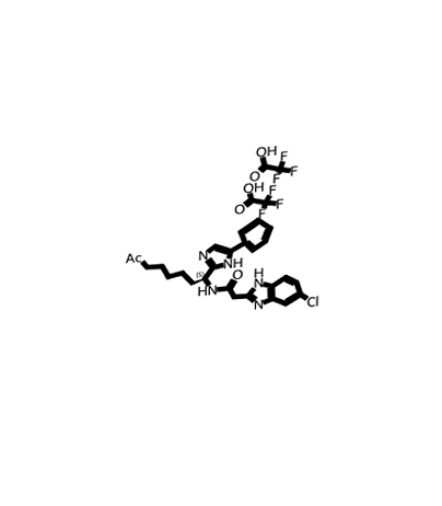 CC(=O)CCCCC[C@H](NC(=O)Cc1nc2cc(Cl)ccc2[nH]1)c1ncc(-c2ccccc2)[nH]1.O=C(O)C(F)(F)F.O=C(O)C(F)(F)F